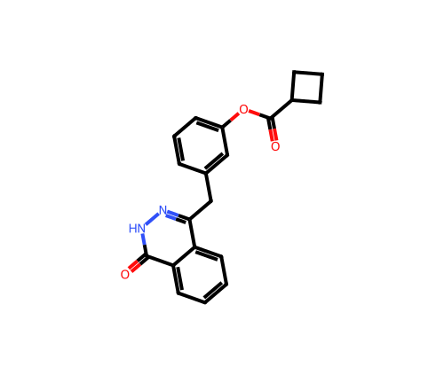 O=C(Oc1cccc(Cc2n[nH]c(=O)c3ccccc23)c1)C1CCC1